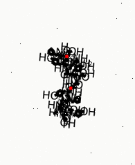 CC(C)C[C@H](NC(=O)[C@H](C)NC(=O)[C@H](Cc1ccccc1)NC(=O)[C@H](Cc1ccc(O)cc1)NC(=O)CNC(=O)[C@H](CCC(=O)O)NC(=O)[C@H](Cc1ccc(O)cc1)NC(=O)[C@H](CCCNC(=N)N)NC(=O)[C@H](Cc1ccc(O)cc1)NC(=O)[C@H](CC(=O)O)NC(=O)[C@@H](N)Cc1ccccc1)C(=O)N[C@@H](CC(=O)O)C(=O)N[C@@H](Cc1ccc(O)cc1)C(=O)O